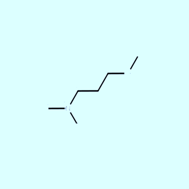 COCCCN(C)I